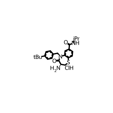 CC(C)NC(=O)c1ccc2c(c1)N(Cc1ccc(C(C)(C)C)cc1)C(=O)[C@@H](N)CS2.Cl